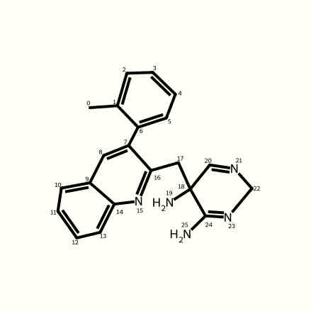 Cc1ccccc1-c1cc2ccccc2nc1CC1(N)C=NCN=C1N